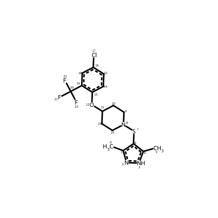 Cc1n[nH]c(C)c1SN1CCC(Oc2ccc(Cl)cc2C(F)(F)F)CC1